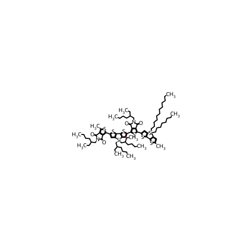 CCCCCCCCCCCC[Si]1(CCCCCCCC)c2cc(C)sc2-c2sc(-c3sc(-c4cc5c(s4)-c4sc(-c6sc(C)c7c6C(=O)N(CC(CC)CCCC)C7=O)cc4[Si]5(CC(CC)CCCC)CC(CC)CCCC)c4c3C(=O)N(CC(CC)CCCC)C4=O)cc21